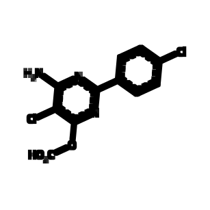 Nc1nc(-c2ccc(Cl)cc2)nc(OC(=O)O)c1Cl